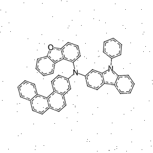 c1ccc(-n2c3ccccc3c3ccc(N(c4ccc5c(ccc6ccc7ccccc7c65)c4)c4cccc5oc6ccccc6c45)cc32)cc1